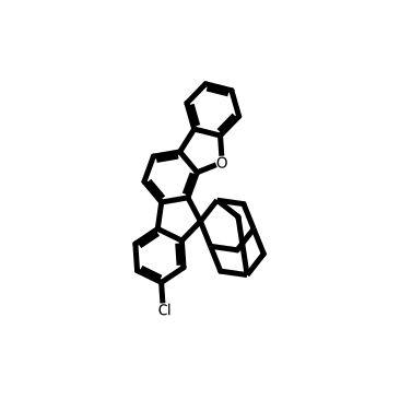 Clc1ccc2c(c1)C1(c3c-2ccc2c3oc3ccccc32)C2CC3CC(C2)CC1C3